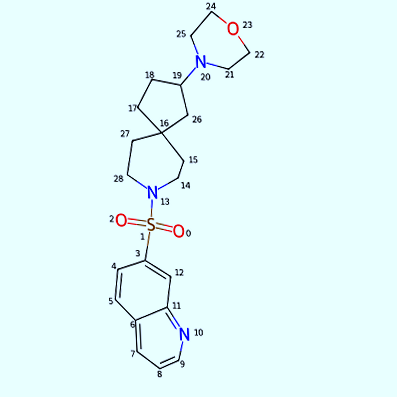 O=S(=O)(c1ccc2cccnc2c1)N1CCC2(CCC(N3CCOCC3)C2)CC1